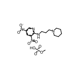 COS(=O)(=O)O.O=[N+]([O-])c1cnc(NCCCN2CCCCC2)c([N+](=O)[O-])c1